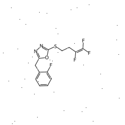 FC(F)=C(F)CCSc1nnc(Cc2ccccc2F)o1